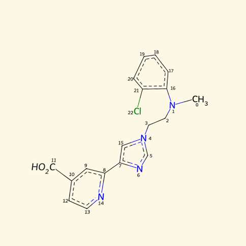 CN(CCn1cnc(-c2cc(C(=O)O)ccn2)c1)c1ccccc1Cl